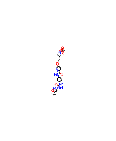 CC(C)(C)c1cc(NC(=O)Nc2ccc(NC(=O)c3ccc(OCCC[C@@H]4CCN(OS(C)(=O)=O)C4)cn3)cc2)no1